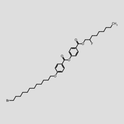 CCCCCCCC(F)COC(=O)c1ccc(OC(=O)c2ccc(OCCCCCCCCCCCCBr)cc2)cc1